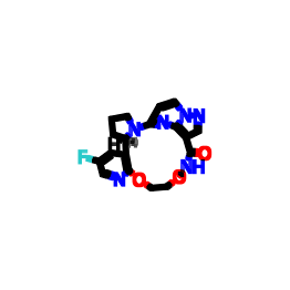 O=C1NOCCOc2ncc(F)cc2[C@H]2CCCN2c2ccn3ncc1c3n2